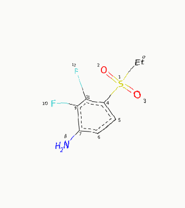 CCS(=O)(=O)c1ccc(N)c(F)c1F